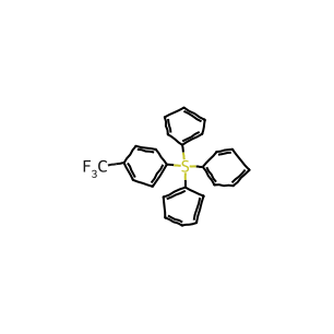 FC(F)(F)c1ccc(S(c2ccccc2)(c2ccccc2)c2ccccc2)cc1